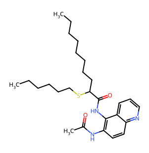 CCCCCCCCC(SCCCCCC)C(=O)Nc1c(NC(C)=O)ccc2ncccc12